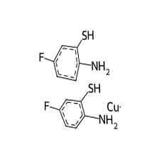 Nc1ccc(F)cc1S.Nc1ccc(F)cc1S.[Cu]